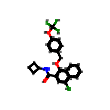 O=C(NC1CCC1)c1cc(Cl)c2ccccc2c1OCc1ccc(OC(F)(F)F)cc1